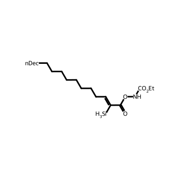 CCCCCCCCCCCCCCCCCCC=C([SiH3])C(=O)ONC(=O)OCC